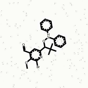 COc1c(C=O)cc(C(O[SiH](c2ccccc2)c2ccccc2)C(C)(C)C)nc1Br